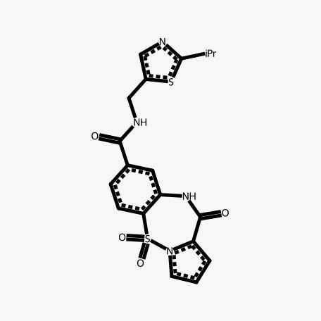 CC(C)c1ncc(CNC(=O)c2ccc3c(c2)NC(=O)c2cccn2S3(=O)=O)s1